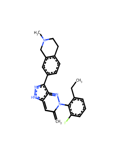 C=C1C=c2[nH]nc(-c3ccc4c(c3)CN(C)CC4)c2=NN1c1c(F)cccc1CC